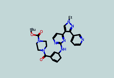 CCn1cc(-c2ccnc(NC3C=C(C(=O)N4CCN(C(=O)OC(C)(C)C)CC4)C=CC3)n2)c(-c2cccnc2)n1